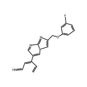 C=C/C(=C\C=N)c1cnc2nc(COc3cccc(F)c3)cn2c1